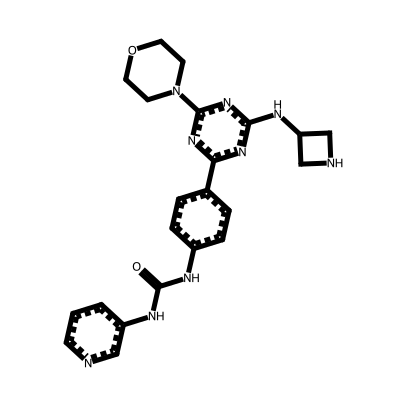 O=C(Nc1ccc(-c2nc(NC3CNC3)nc(N3CCOCC3)n2)cc1)Nc1cccnc1